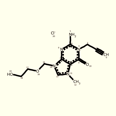 C#CCn1c(N)nc2c(c1=O)n(C)c[n+]2COCCO.[Cl-]